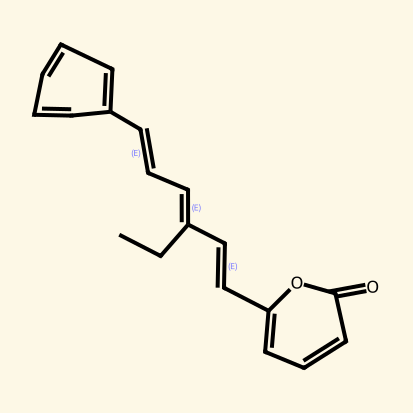 CCC(/C=C/c1cccc(=O)o1)=C\C=C\c1ccccc1